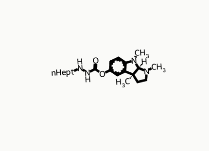 CCCCCCCNNC(=O)Oc1ccc2c(c1)[C@]1(C)CCN(C)[C@@H]1N2C